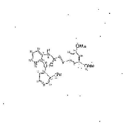 COc1cc(C=CC(=O)Nc2cccnc2Oc2ccccc2C(C)(C)C)cc(OC)c1